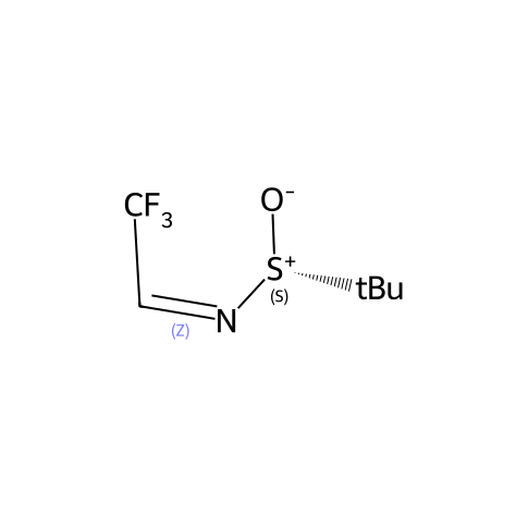 CC(C)(C)[S@@+]([O-])/N=C\C(F)(F)F